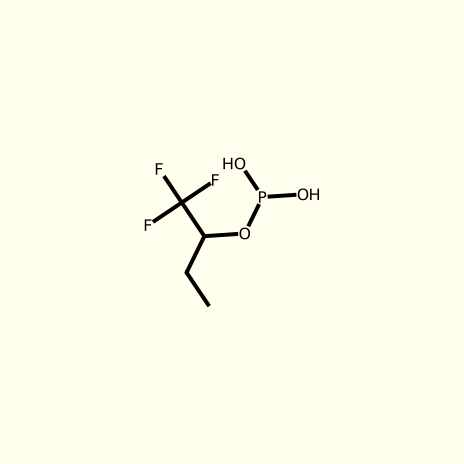 CCC(OP(O)O)C(F)(F)F